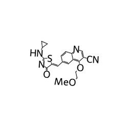 COCCOc1c(C#N)cnc2ccc(/C=C3\SC(NC4CC4)=NC3=O)cc12